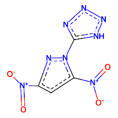 O=[N+]([O-])c1cc([N+](=O)[O-])n(-c2nnn[nH]2)n1